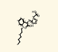 CCCCCCCSc1ccccc1C(Sc1nnnn1CC(=O)O)C(=O)O